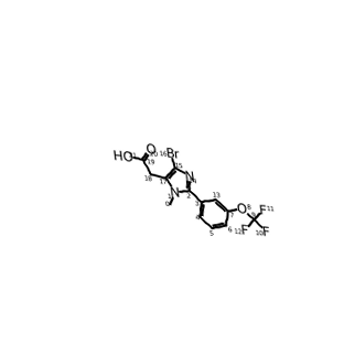 Cn1c(-c2cccc(OC(F)(F)F)c2)nc(Br)c1CC(=O)O